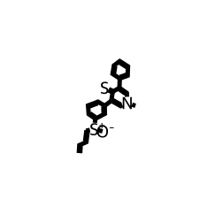 C=C/C=C/[S+]([O-])c1cccc(-c2cn(C)cc(-c3ccccc3)c2=S)c1